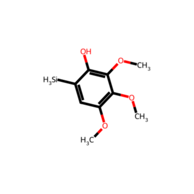 COc1cc([SiH3])c(O)c(OC)c1OC